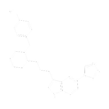 COc1ccc(CC2C=CCCN2CCCc2c[nH]c3ccc(-n4cnnc4)cc23)cc1